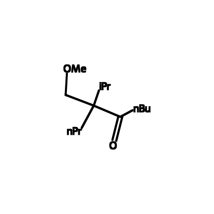 CCCCC(=O)C(CCC)(COC)C(C)C